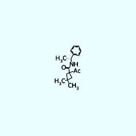 CC(=O)C1(C(=O)N[C@H](C)c2ccccc2)CC(C)(C)C1